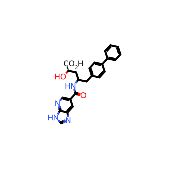 O=C(NC(Cc1ccc(-c2ccccc2)cc1)C[C@@H](O)C(=O)O)c1cnc2[nH]cnc2c1